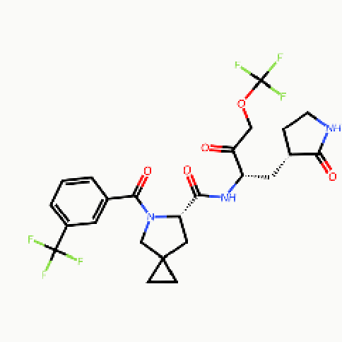 O=C1NCC[C@H]1C[C@H](NC(=O)[C@@H]1CC2(CC2)CN1C(=O)c1cccc(C(F)(F)F)c1)C(=O)COC(F)(F)F